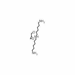 ClCC1CO1.NCCCCCCNCCCCCCN